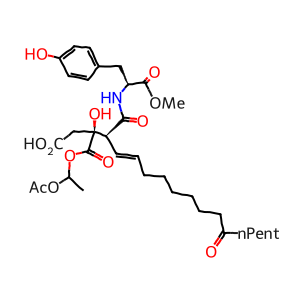 CCCCCC(=O)CCCCCC/C=C/[C@H](C(=O)N[C@@H](Cc1ccc(O)cc1)C(=O)OC)[C@@](O)(CC(=O)O)C(=O)OC(C)OC(C)=O